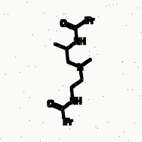 CC(CN(C)CCNC(=O)C(C)C)NC(=O)C(C)C